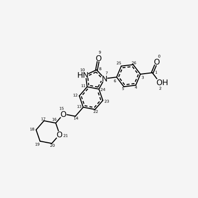 O=C(O)c1ccc(-n2c(=O)[nH]c3cc(COC4CCCCO4)ccc32)cc1